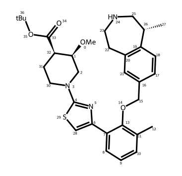 CO[C@H]1CN(c2nc(-c3cccc(C)c3OCc3ccc4c(c3)CCNC[C@@H]4C)cs2)CC[C@H]1C(=O)OC(C)(C)C